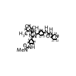 CNC(=O)Nc1ccc(-c2nc(-c3ccc(NC(=O)Nc4cccnc4)cc3)nc(N3C(C)COCC3C)n2)cc1